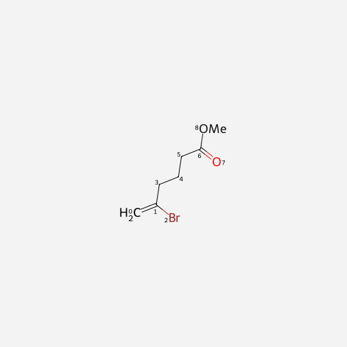 C=C(Br)CCCC(=O)OC